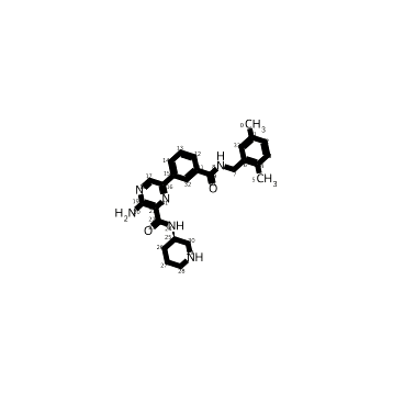 Cc1ccc(C)c(CNC(=O)c2cccc(-c3cnc(N)c(C(=O)N[C@H]4CCCNC4)n3)c2)c1